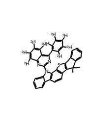 [2H]c1c([2H])c([2H])c(-c2nc(-n3c4ccccc4c4ccc5c6c(sc5c43)-c3ccccc3C6(C)C)nc3c([2H])c([2H])c([2H])c([2H])c23)c([2H])c1[2H]